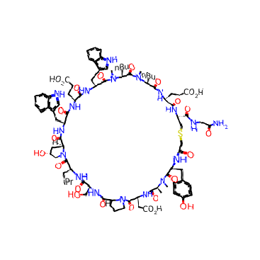 CCCC[C@H]1C(=O)N(C)[C@@H](CCCC)C(=O)N[C@@H](CCC(=O)O)C(=O)N[C@H](C(=O)NCC(N)=O)CSCC(=O)N[C@@H](Cc2ccc(O)cc2)C(=O)N(C)[C@@H](C)C(=O)N[C@@H](CC(=O)O)C(=O)N2CCC[C@H]2C(=O)N[C@@H](CO)C(=O)N[C@@H](CC(C)C)C(=O)N2C[C@H](O)C[C@H]2C(=O)N[C@@H](Cc2c[nH]c3ccccc23)C(=O)N[C@@H](CCC(=O)O)C(=O)N[C@@H](Cc2c[nH]c3ccccc23)C(=O)N1C